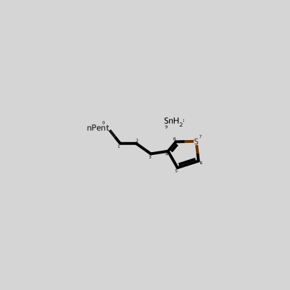 CCCCCCCCc1ccsc1.[SnH2]